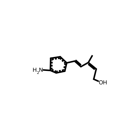 CC(=C/CO)/C=C/c1ccc(N)cc1